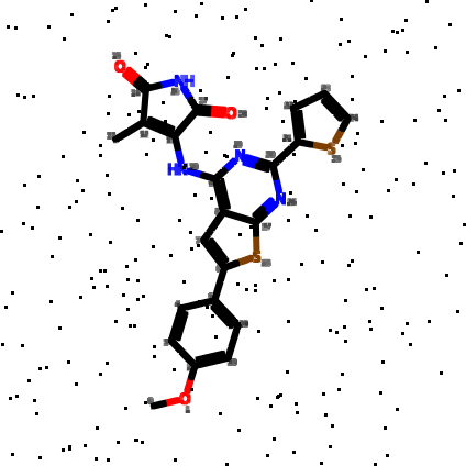 COc1ccc(-c2cc3c(NC4=C(C)C(=O)NC4=O)nc(-c4cccs4)nc3s2)cc1